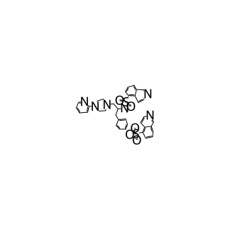 CN(C(Cc1ccc(OS(=O)(=O)c2cccc3cnccc23)cc1)CN1CCN(c2ccccn2)CC1)S(=O)(=O)c1cccc2cnccc12